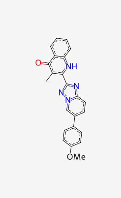 COc1ccc(-c2ccc3nc(-c4[nH]c5ccccc5c(=O)c4C)nn3c2)cc1